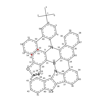 CC(C)(C)c1ccc(N2c3ccc4oc5ccccc5c4c3B3c4c(cc5ccccc5c42)-c2cccc4c5sc6ccccc6c5n3c24)c(-c2ccccc2)c1